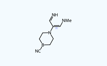 CN/C=C(\C=N)N1CCB(C#N)CC1